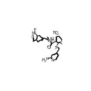 Cl.Nc1cc(CSc2ncccc2C(=O)Nc2ccc3cn[nH]c3c2)ccn1